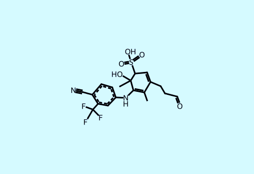 CC1=C(Nc2ccc(C#N)c(C(F)(F)F)c2)C(C)(O)C(S(=O)(=O)O)C=C1CCC=O